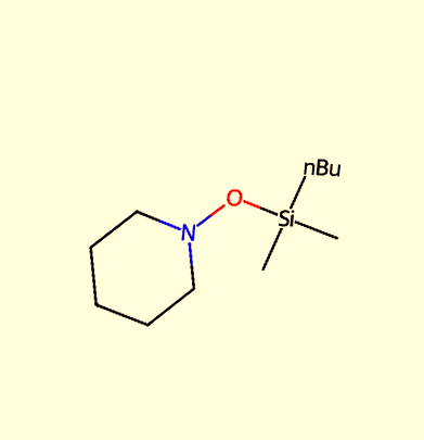 CCCC[Si](C)(C)ON1CCCCC1